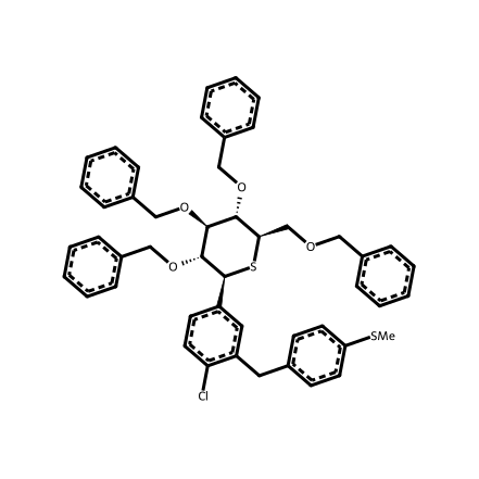 CSc1ccc(Cc2cc([C@@H]3S[C@H](COCc4ccccc4)[C@@H](OCc4ccccc4)[C@H](OCc4ccccc4)[C@H]3OCc3ccccc3)ccc2Cl)cc1